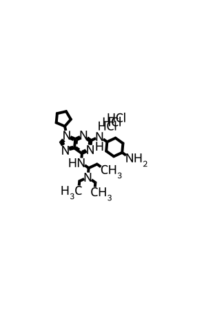 CCC(Nc1nc(NC2CCC(N)CC2)nc2c1ncn2C1CCCC1)N(CC)CC.Cl.Cl.Cl